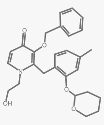 Cc1ccc(Cc2c(OCc3ccccc3)c(=O)ccn2CCO)c(OC2CCCCO2)c1